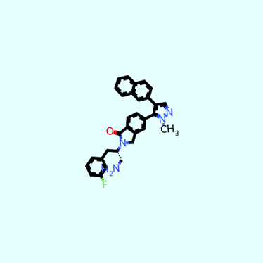 Cn1ncc(-c2ccc3ccccc3c2)c1-c1ccc2c(c1)CN([C@H](CN)Cc1cccc(F)c1)C2=O